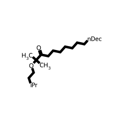 CCCCCCCCCCCCCCCCCC(=O)C(C)(C)OCCC(C)C